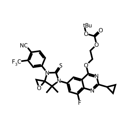 CC(C)(C)OC(=O)OCCOc1nc(C2CC2)nc2c(F)cc(N3C(=S)N(c4ccc(C#N)c(C(F)(F)F)c4)C4(CO4)C3(C)C)cc12